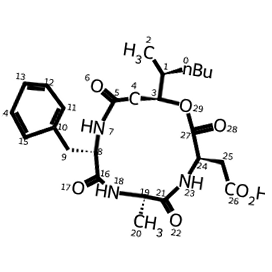 CCCC[C@H](C)[C@@H]1CC(=O)N[C@@H](Cc2ccccc2)C(=O)N[C@@H](C)C(=O)N[C@H](CC(=O)O)C(=O)O1